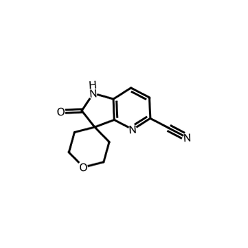 N#Cc1ccc2c(n1)C1(CCOCC1)C(=O)N2